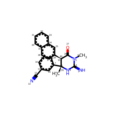 CN1C(=N)N[C@](C)(c2cccc(C#N)c2)[C@@H](c2ccc3ccccc3c2)C1=O